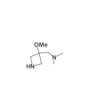 COC1(CN(C)C)CNC1